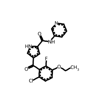 CCOc1ccc(Cl)c(C(=O)c2c[nH]c(C(=O)Nc3cccnc3)c2)c1F